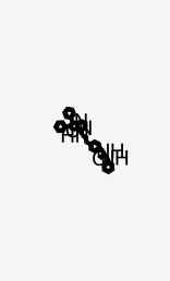 O=C(Nc1ccccc1)Nc1ccc(CCNc2ncnc3c(-c4ccccc4)c(-c4ccccc4)oc23)cc1